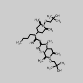 C=C1CC(N(CCCC)C(=N)/N=C(\NC)N(C)C2CC(=C)N(OCC(C)(C)O)C(=C)C2)CC(=C)N1OCC(C)(C)O